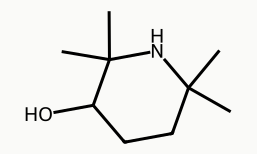 CC1(C)CCC(O)C(C)(C)N1